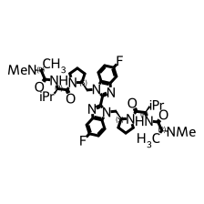 CN[C@H](C)C(=O)N[C@@H](C(=O)N1CCC[C@H]1Cn1c(-c2nc3cc(F)ccc3n2C[C@@H]2CCCN2C(=O)[C@H](NC(=O)[C@@H](C)NC)C(C)C)nc2cc(F)ccc21)C(C)C